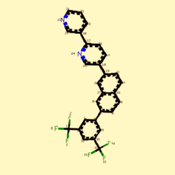 FC(F)(F)c1cc(-c2ccc3ccc(-c4ccc(-c5cccnc5)nc4)cc3c2)cc(C(F)(F)F)c1